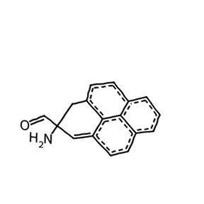 NC1(C=O)C=c2ccc3cccc4ccc(c2c43)C1